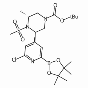 C[C@@H]1CN(C(=O)OC(C)(C)C)C[C@@H](c2cc(Cl)nc(B3OC(C)(C)C(C)(C)O3)c2)N1S(C)(=O)=O